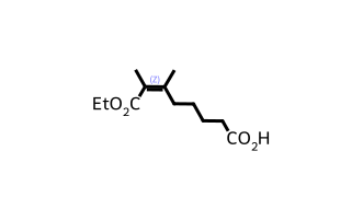 CCOC(=O)/C(C)=C(/C)CCCCC(=O)O